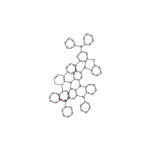 C1=CC(c2ccccc2)=C(N2c3cc4c(cc3B3c5ccccc5N(c5ccccc5)c5cc(N(c6ccccc6)c6ccccc6)cc2c53)B2c3ccccc3Sc3cc(N(c5ccccc5)c5ccccc5)cc(c32)S4)C(c2ccccc2)C1